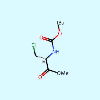 COC(=O)[C@H](CCl)NC(=O)OC(C)(C)C